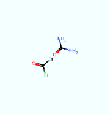 CCC(=O)Cl.NC(N)=O